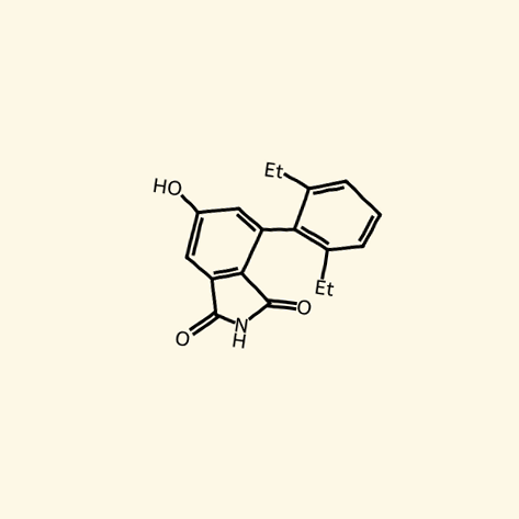 CCc1cccc(CC)c1-c1cc(O)cc2c1C(=O)NC2=O